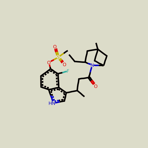 CCC1CC2(C)CC(C2)N1C(=O)CC(C)c1c[nH]c2ccc(OS(C)(=O)=O)c(F)c12